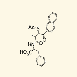 CC(=O)SC(C(=O)c1ccc2ccccc2c1)C(C)C(=O)N[C@@H](Cc1ccccc1)C(=O)O